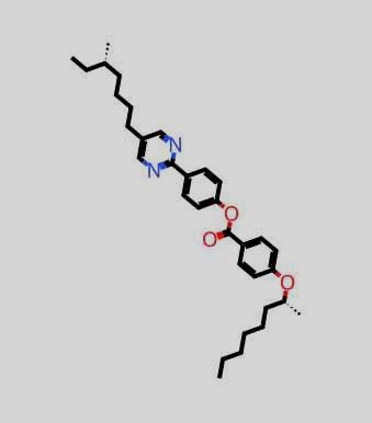 CCCCCC[C@@H](C)Oc1ccc(C(=O)Oc2ccc(-c3ncc(CCCC[C@@H](C)CC)cn3)cc2)cc1